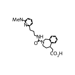 CNc1cccc(CCCNC(=O)N2CCC(CC(=O)O)c3ccccc3C2)n1